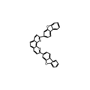 c1ccc2c(c1)oc1cc(-c3ccc4ccc5ccc(-c6ccc7c(c6)oc6ccccc67)nc5c4n3)ccc12